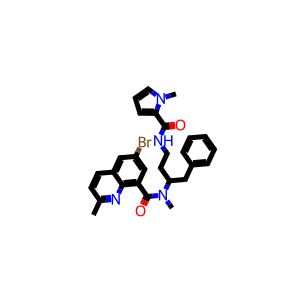 Cc1ccc2cc(Br)cc(C(=O)N(C)C(CCNC(=O)c3cccn3C)Cc3ccccc3)c2n1